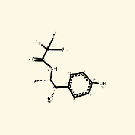 C[C@H](NC(=O)C(F)(F)F)[C@@H](O)c1ccc(O)cc1